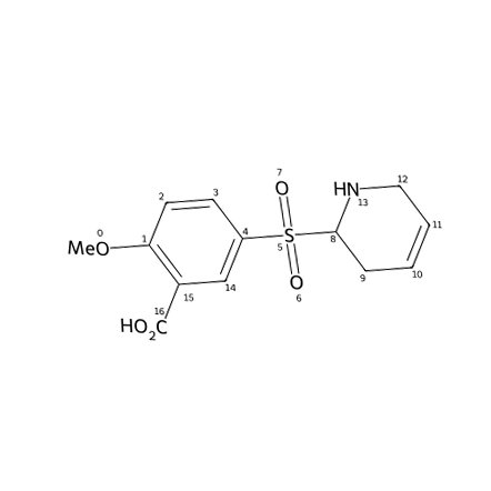 COc1ccc(S(=O)(=O)C2CC=CCN2)cc1C(=O)O